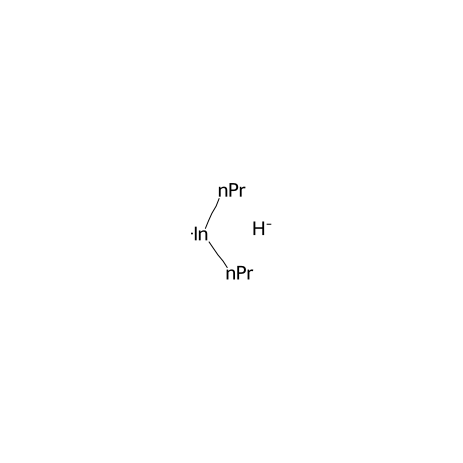 CC[CH2][In][CH2]CC.[H-]